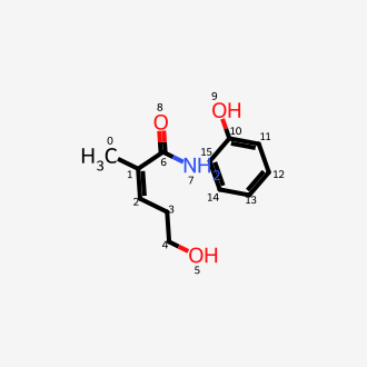 CC(=CCCO)C(N)=O.Oc1ccccc1